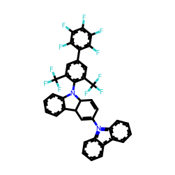 Fc1c(F)c(F)c(-c2cc(C(F)(F)F)c(N3c4ccccc4C4C=C(n5c6ccccc6c6ccccc65)C=CC43)c(C(F)(F)F)c2)c(F)c1F